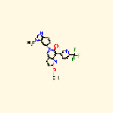 CCOc1ccc2cn(-c3ccc4ncn(C)c4c3)c(=O)c(-c3ccc(C(F)(F)F)nc3)c2n1